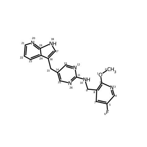 COc1ncc(F)cc1CNc1ncc(Cc2c[nH]c3ncccc23)cn1